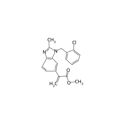 C=C(C(=O)OC)c1ccc2nc(C)n(Cc3ccccc3Cl)c2c1